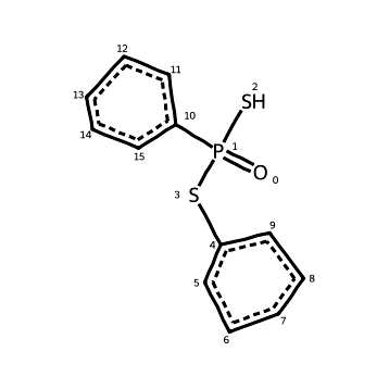 O=P(S)(Sc1ccccc1)c1ccccc1